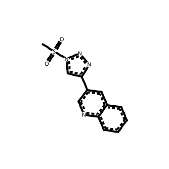 CS(=O)(=O)n1cc(-c2cnc3ccccc3c2)nn1